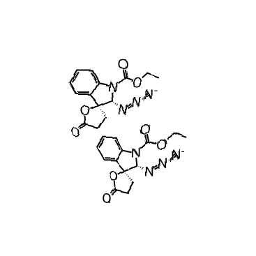 CCOC(=O)N1c2ccccc2[C@@]2(CCC(=O)O2)[C@H]1N=[N+]=[N-].CCOC(=O)N1c2ccccc2[C@@]2(CCC(=O)O2)[C@H]1N=[N+]=[N-]